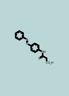 O=C(O)CC(=S)Nc1ccc(N=Nc2ccccc2)cc1